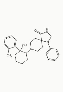 Cc1ccccc1C1(O)CCCCC1N1CCC2(CC1)C(=O)NCN2c1ccccc1